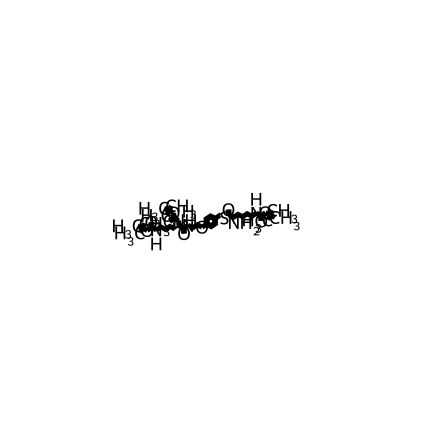 CC(C)(C)OC(=O)NCCCC[C@H](N)C(=O)SCc1ccc(OCCNC(=O)[C@@H](CCCCNC(=O)OC(C)(C)C)NC(=O)OC(C)(C)C)cc1